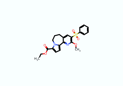 CCOC(=O)c1ccc2n1CCCc1cc(S(=O)(=O)c3ccccc3)c(OC)nc1-2